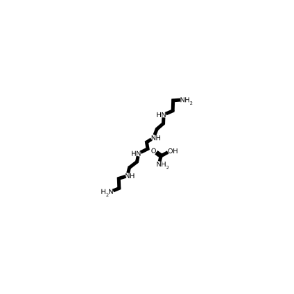 NC(=O)O.NCCNCCNCCNCCNCCN